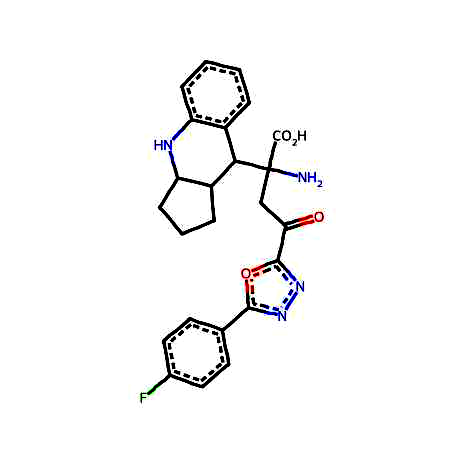 NC(CC(=O)c1nnc(-c2ccc(F)cc2)o1)(C(=O)O)C1c2ccccc2NC2CCCC21